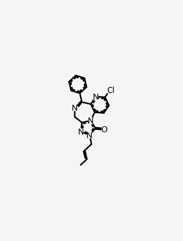 CC=CCn1nc2n(c1=O)-c1ccc(Cl)nc1C(c1ccccc1)=NC2